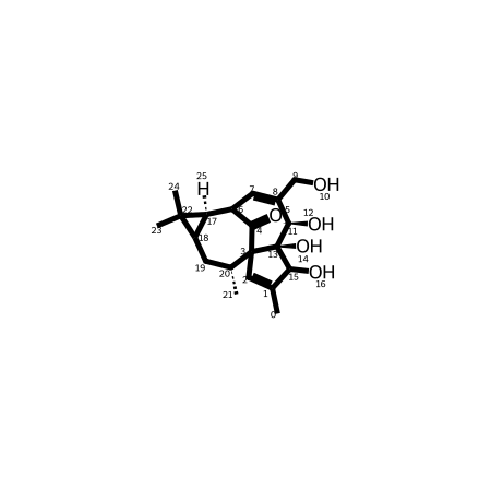 CC1=CC23C(=O)C(C=C(CO)[C@@H](O)[C@]2(O)C1O)[C@H]1C(C[C@H]3C)C1(C)C